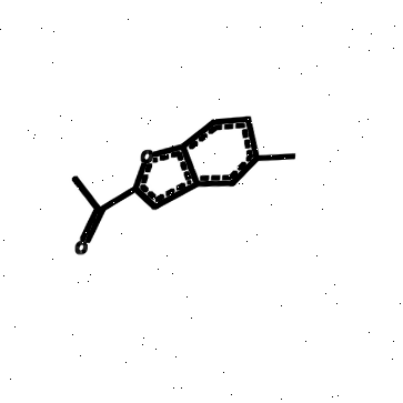 CC(=O)c1cc2cc(C)ccc2o1